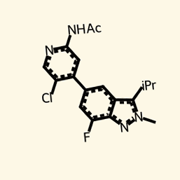 CC(=O)Nc1cc(-c2cc(F)c3nn(C)c(C(C)C)c3c2)c(Cl)cn1